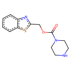 O=C(OCc1nc2ccccc2s1)N1CCNCC1